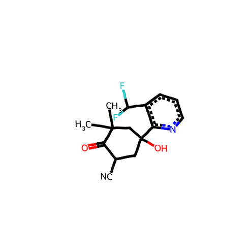 CC1(C)CC(O)(c2ncccc2C(F)F)CC(C#N)C1=O